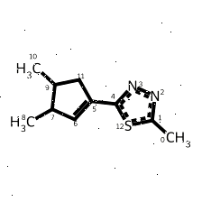 Cc1nnc(C2=CC(C)C(C)C2)s1